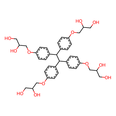 OCC(O)COc1ccc(C(c2ccc(OCC(O)CO)cc2)C(c2ccc(OCC(O)CO)cc2)c2ccc(OCC(O)CO)cc2)cc1